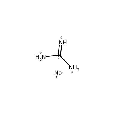 N=C(N)N.[Nb]